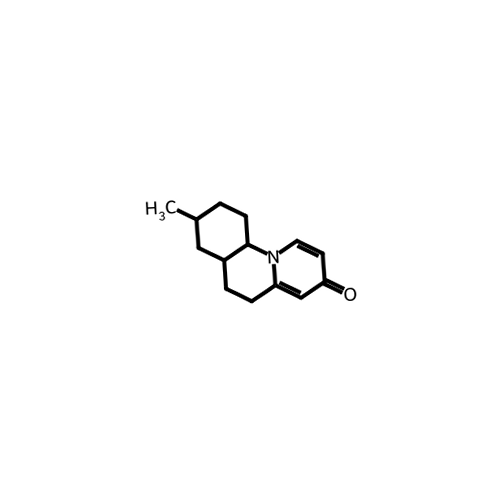 CC1CCC2C(CCc3cc(=O)ccn32)C1